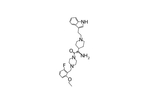 CCOc1cccc(F)c1CN1CCN(C(=O)[C@H](N)C2CCN(CCc3c[nH]c4ccccc34)CC2)CC1